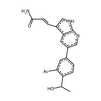 CC(=O)c1cc(-c2cnc3[nH]cc(C=CC(N)=O)c3c2)ccc1C(C)O